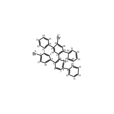 Brc1ccc(-c2ccc(-c3ccccn3)nc2-c2cc(-c3ccccc3)c(Br)cc2-c2ccccc2)cc1